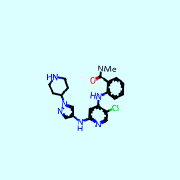 CNC(=O)c1ccccc1Nc1cc(Nc2cnn(C3CCNCC3)c2)ncc1Cl